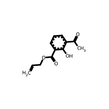 C=CCOC(=O)c1cccc(C(C)=O)c1O